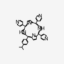 CC(C)c1ccc(-c2c3nc(c(-c4ccncc4)c4ccc([nH]4)c(-c4ccncc4)c4nc(c(-c5ccncc5)c5ccc2[nH]5)C=C4)C=C3)cc1